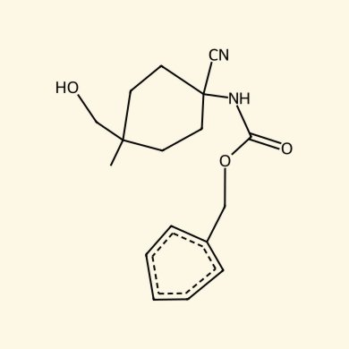 CC1(CO)CCC(C#N)(NC(=O)OCc2ccccc2)CC1